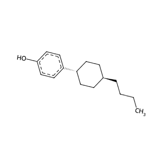 CCCC[C@H]1CC[C@H](c2ccc(O)cc2)CC1